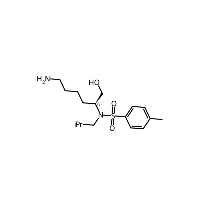 Cc1ccc(S(=O)(=O)N(CC(C)C)[C@H](CO)CCCCN)cc1